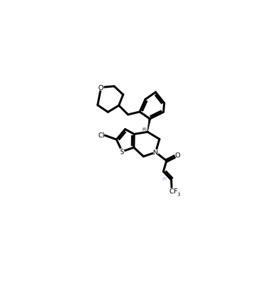 O=C(/C=C/C(F)(F)F)N1Cc2sc(Cl)cc2[C@@H](c2ccccc2CC2CCOCC2)C1